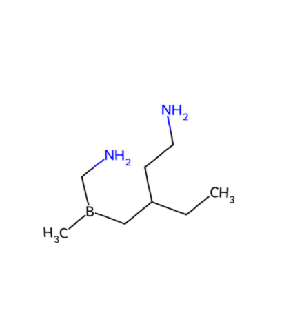 CCC(CCN)CB(C)CN